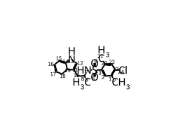 Cc1cc(S(=O)(=O)NC(C)CC2=CNC3=CC=CCC23)c(C)cc1Cl